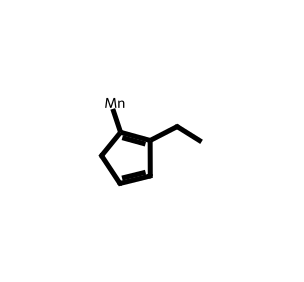 CCC1=[C]([Mn])CC=C1